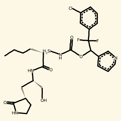 CCCC[C@H]([SiH2]NC(=O)OC(c1cccnc1)C(F)(F)c1cccc(Cl)c1)C(=O)N[C@H](CO)C[C@@H]1CCNC1=O